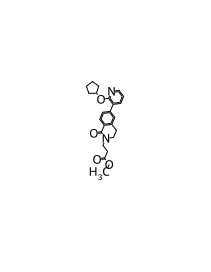 COC(=O)CCN1CCc2cc(-c3cccnc3OC3CCCC3)ccc2C1=O